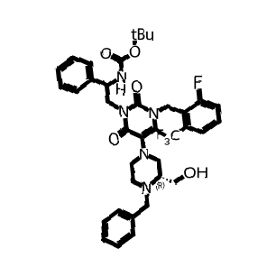 Cc1c(N2CCN(Cc3ccccc3)[C@@H](CO)C2)c(=O)n(CC(NC(=O)OC(C)(C)C)c2ccccc2)c(=O)n1Cc1c(F)cccc1C(F)(F)F